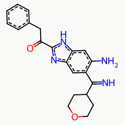 N=C(c1cc2nc(C(=O)Cc3ccccc3)[nH]c2cc1N)C1CCOCC1